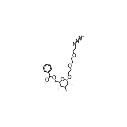 CC1[C@H](C)C(COC(=O)c2ccccc2)O[C@H](OCCOCCOCCN=[N+]=[N-])[C@@H]1C